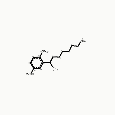 CCCCCCCCCCCCCCCCC(C)c1cc(OC)ccc1OC